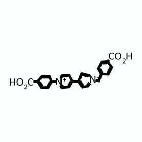 O=C(O)c1ccc(C[n+]2ccc(-c3cc[n+](-c4ccc(C(=O)O)cc4)cc3)cc2)cc1